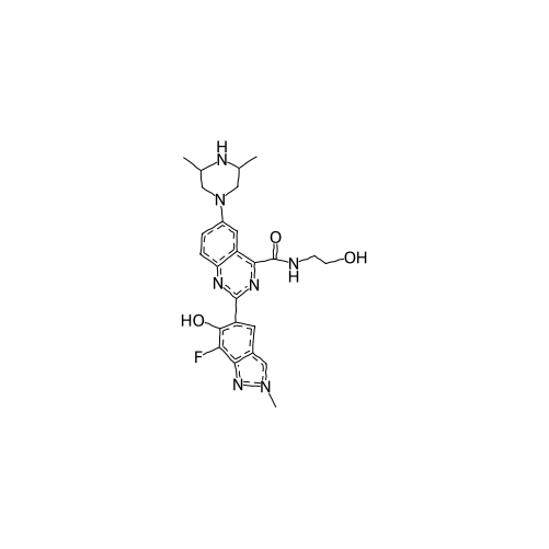 CC1CN(c2ccc3nc(-c4cc5cn(C)nc5c(F)c4O)nc(C(=O)NCCO)c3c2)CC(C)N1